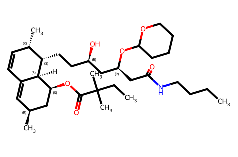 CCCCNC(=O)C[C@@H](C[C@H](O)CC[C@@H]1[C@@H]2C(=C[C@H](C)C[C@@H]2OC(=O)C(C)(C)CC)C=C[C@@H]1C)OC1CCCCO1